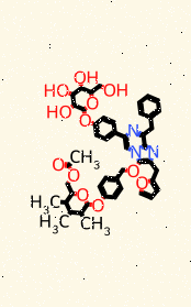 CC(=O)OCC1OC(Oc2ccc(COc3c(Cc4ccco4)nc4c(Cc5ccccc5)nc(-c5ccc(OC6OC(CO)C(O)C(O)C6O)cc5)cn34)cc2)C(C)C(C)C1C